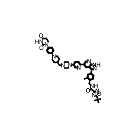 Cc1cc(-c2n[nH]c3ncc(-c4ccc(N5CCN(CC6CCN(c7ccc(N8CCC(=O)NC8=O)cc7)CC6)CC5)cn4)cc23)ccc1CNC(=O)c1noc(C(C)(C)C)n1